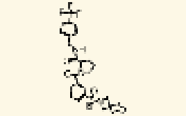 O=C(NCc1ccc(C(F)(F)F)cc1)[C@H]1CCCN1C(=O)c1cccc(S(=O)(=O)N2CC3(COC3)C2)c1